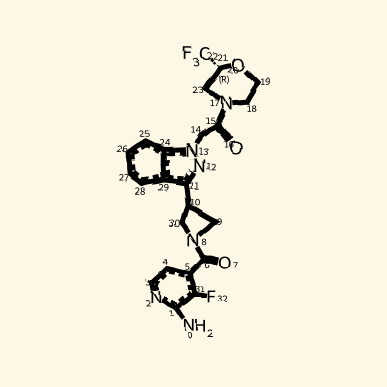 Nc1nccc(C(=O)N2CC(c3nn(CC(=O)N4CCO[C@@H](C(F)(F)F)C4)c4ccccc34)C2)c1F